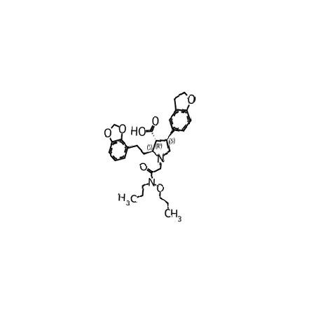 CCCON(CCC)C(=O)CN1C[C@H](c2ccc3c(c2)CCO3)[C@@H](C(=O)O)[C@@H]1CCc1cccc2c1OCO2